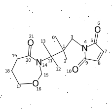 CC(C)(CN1C(=O)C=CC1=O)C(C)(C)N1COCCCC1=O